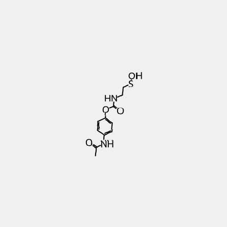 CC(=O)Nc1ccc(OC(=O)NCCSO)cc1